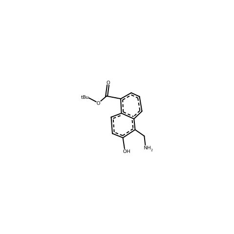 CC(C)(C)OC(=O)c1cccc2c(CN)c(O)ccc12